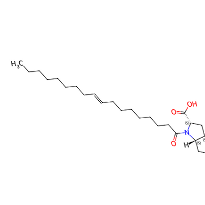 CCCCCCCCC=CCCCCCCCC(=O)N1[C@H](C(=O)O)C[C@@H]2CCC[C@@H]21